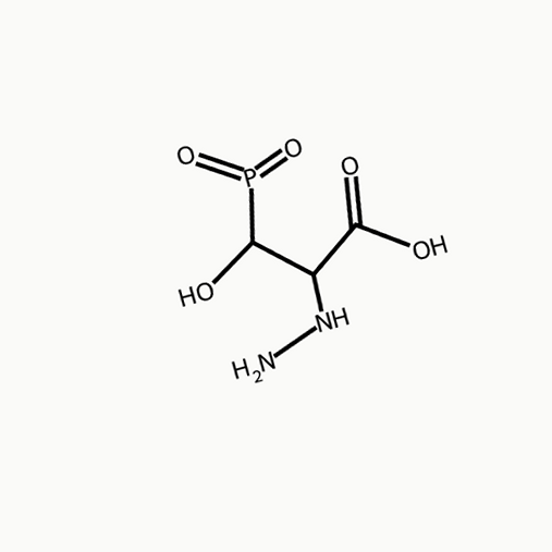 NNC(C(=O)O)C(O)P(=O)=O